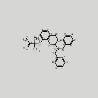 CC(C)(Oc1cccc2c1CC(N(Cc1ccccc1)Cc1ccccc1)CC2)C(N)=O